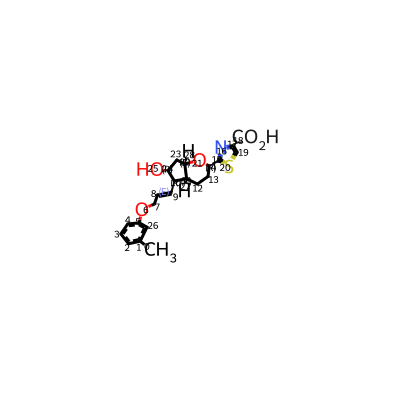 Cc1cccc(OC/C=C/[C@@H]2[C@H]3CC[C@H](c4nc(C(=O)O)cs4)O[C@H]3C[C@H]2O)c1